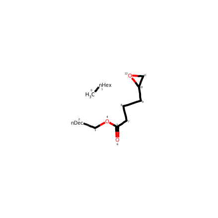 CCCCCCC.CCCCCCCCCCCOC(=O)CCCC1CO1